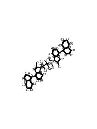 CC1=Cc2c(-c3cccc4ccccc34)cccc2[CH]1[Ti]([CH3])([CH3])[C](C)(C)[Ti]([CH3])([CH3])[CH]1C(C)=Cc2c(-c3cccc4ccccc34)cccc21